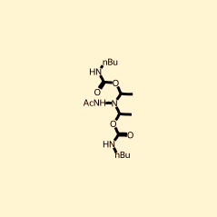 CCCCNC(=O)OC(C)N(NC(C)=O)C(C)OC(=O)NCCCC